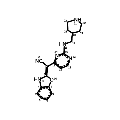 N#C/C(=C1\Nc2ccccc2O1)c1ccnc(NCC2CCNCC2)n1